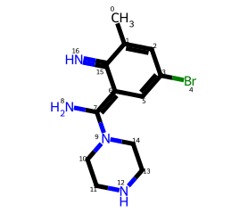 CC1=CC(Br)=C/C(=C(/N)N2CCNCC2)C1=N